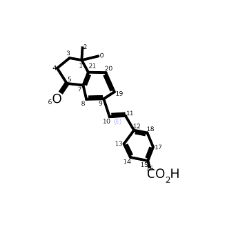 CC1(C)CCC(=O)c2cc(/C=C/c3ccc(C(=O)O)cc3)ccc21